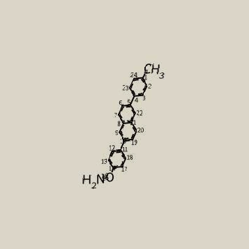 Cc1ccc(-c2ccc3cc(-c4ccc(ON)cc4)ccc3c2)cc1